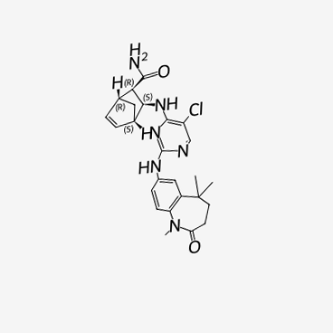 CN1C(=O)CCC(C)(C)c2cc(Nc3ncc(Cl)c(N[C@@H]4[C@H](C(N)=O)[C@H]5C=C[C@@H]4C5)n3)ccc21